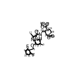 Cc1cc(OCc2c(F)cccc2F)c2nc(C)c(C(=O)NCC3CS(=O)(=O)CCN3C(=O)OC(C)(C)C)n2c1